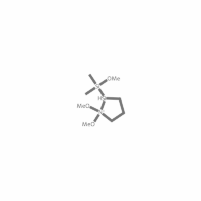 CO[N+]1(OC)CCC[SiH]1[Si](C)(C)OC